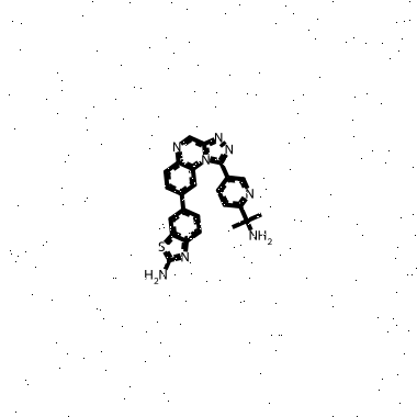 CC(C)(N)c1ccc(-c2nnc3cnc4ccc(-c5ccc6nc(N)sc6c5)cc4n23)cn1